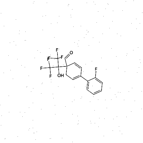 O=CC1(C(O)(C(F)(F)F)C(F)(F)F)C=CC(c2ccccc2F)=CC1